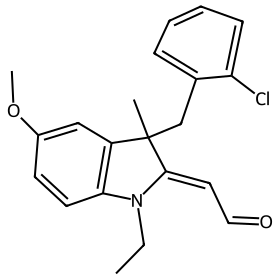 CCN1C(=CC=O)C(C)(Cc2ccccc2Cl)c2cc(OC)ccc21